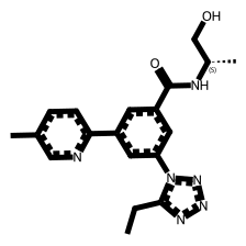 CCc1nnnn1-c1cc(C(=O)N[C@@H](C)CO)cc(-c2ccc(C)cn2)c1